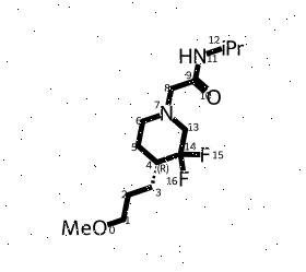 COCCC[C@@H]1CCN(CC(=O)NC(C)C)CC1(F)F